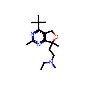 CCN(C)CCC1(C)OCc2c(C(C)(C)C)nc(C)nc21